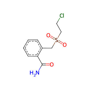 NC(=O)c1ccccc1CS(=O)(=O)CCCl